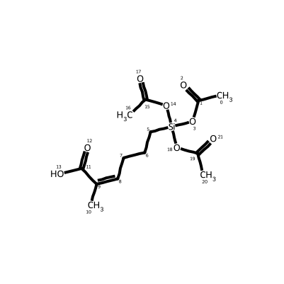 CC(=O)O[Si](CCCC=C(C)C(=O)O)(OC(C)=O)OC(C)=O